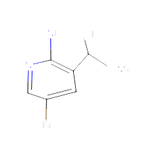 COC(C)c1cc(Br)cnc1N